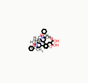 CC1(C)CC(c2cccc(C=C(C(=O)O)C(=O)O)c2C2CC(C)(C)N(OC3CCCCC3)C(C)(C)C2)CC(C)(C)N1OC1CCCCC1